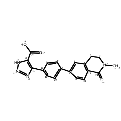 CN1CCc2cc(-c3ccc(-c4nn[nH]c4C(=O)O)cc3)ccc2C1=O